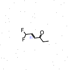 CCC(=O)/C=C/C(F)F